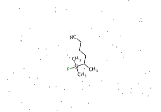 CC(CCCC#N)[Si](C)(C)F